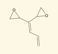 C=CC=C(C1CO1)C1CO1